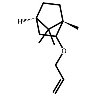 C=CCOC1C[C@H]2CC[C@@]1(C)C2(C)C